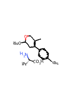 CC(C)[C@H](N)C(=O)O.CC1=C(c2ccc(C(C)(C)C)cc2)CC(OCC(C)C)OC1